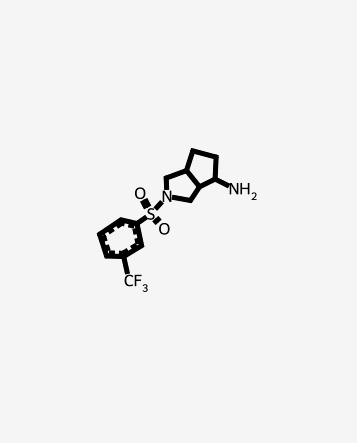 NC1CCC2CN(S(=O)(=O)c3cccc(C(F)(F)F)c3)CC12